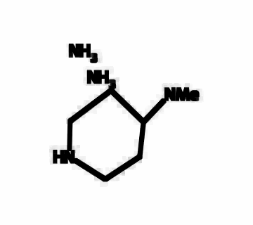 CNC1CCNCC1.N.N